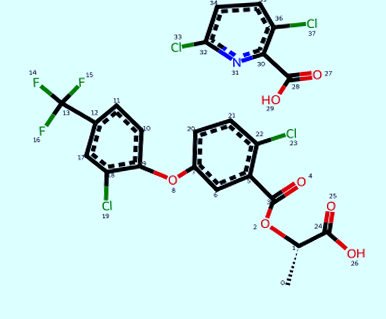 C[C@H](OC(=O)c1cc(Oc2ccc(C(F)(F)F)cc2Cl)ccc1Cl)C(=O)O.O=C(O)c1nc(Cl)ccc1Cl